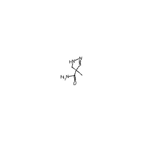 CC1(C(N)=O)C=NNC1